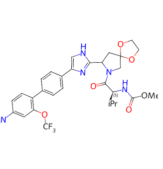 COC(=O)N[C@H](C(=O)N1CC2(CC1c1nc(-c3ccc(-c4ccc(N)cc4OC(F)(F)F)cc3)c[nH]1)OCCO2)C(C)C